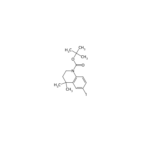 CC(C)(C)OC(=O)N1CCC(C)(C)c2cc(I)ccc21